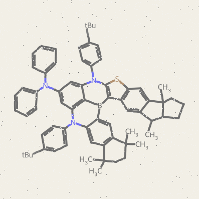 CC1c2cc3c4c(sc3cc2C2(C)CCCC12)N(c1ccc(C(C)(C)C)cc1)c1cc(N(c2ccccc2)c2ccccc2)cc2c1B4c1cc3c(cc1N2c1ccc(C(C)(C)C)cc1)C(C)(C)CCC3(C)C